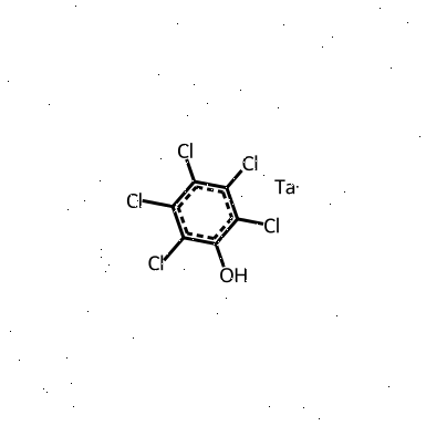 Oc1c(Cl)c(Cl)c(Cl)c(Cl)c1Cl.[Ta]